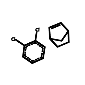 C1=CC2CCC1C2.Clc1ccccc1Cl